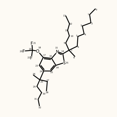 CCCCCCCC(C)(CCCCC)c1nc2c(OC(F)(F)F)cc(C(C)(CC)CCCC)cc2s1